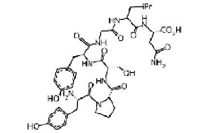 CC(C)C[C@H](NC(=O)CNC(=O)[C@H](Cc1ccc(O)cc1)NC(=O)[C@H](CO)NC(=O)[C@@H]1CCCN1C(=O)[C@@H](N)Cc1ccc(O)cc1)C(=O)N[C@@H](CC(N)=O)C(=O)O